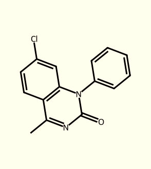 Cc1nc(=O)n(-c2ccccc2)c2cc(Cl)ccc12